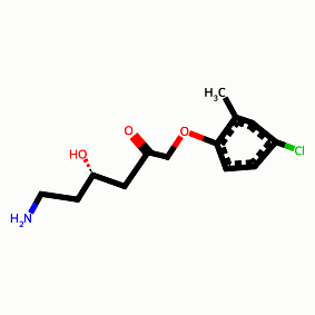 Cc1cc(Cl)ccc1OCC(=O)C[C@@H](O)CCN